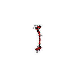 COc1cccc(F)c1-c1ncc2[nH]nc(-c3ccc(N4CCN(CC(=O)NCCOCCOCCOCCOCCNc5cccc6c5C(=O)N(C5CCC(=O)NC5=O)C6=O)CC4)cc3)c2n1